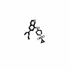 C=C/C=C(\C=C)c1cc(NC2CCN(S(=O)(=O)C3CC3)CC2)c2cnccc2c1